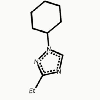 CCc1ncn(C2CCCCC2)n1